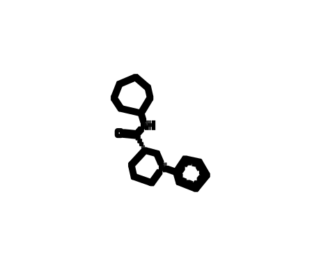 O=C(NC1CCCCCC1)[C@H]1CCCN(c2ccccc2)C1